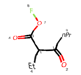 CCCC(=O)C(CC)C(=O)OF